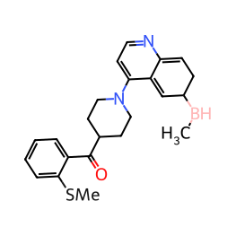 CBC1C=c2c(N3CCC(C(=O)c4ccccc4SC)CC3)ccnc2=CC1